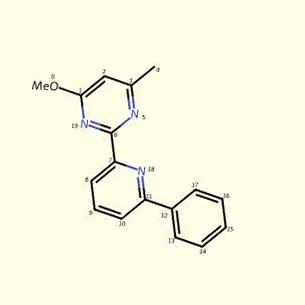 COc1cc(C)nc(-c2cccc(-c3ccccc3)n2)n1